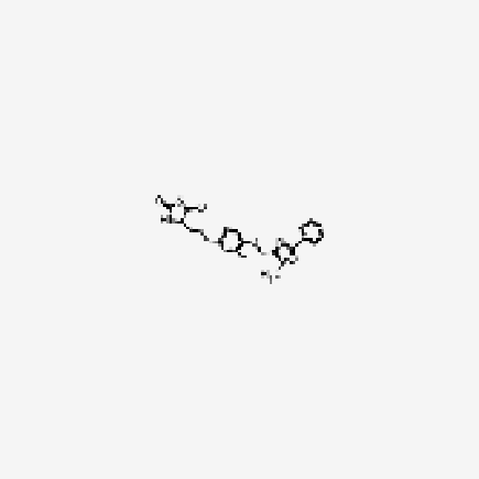 Cc1oc(-c2ccccc2)nc1COc1ccc(CCCC2NC(=O)SC2=O)cc1F